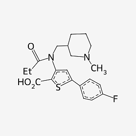 CCC(=O)N(CC1CCCN(C)C1)c1cc(-c2ccc(F)cc2)sc1C(=O)O